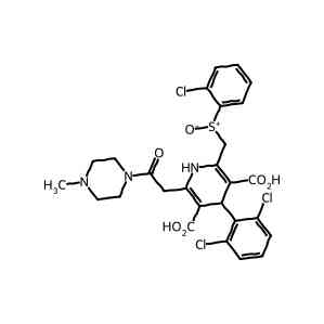 CN1CCN(C(=O)CC2=C(C(=O)O)C(c3c(Cl)cccc3Cl)C(C(=O)O)=C(C[S+]([O-])c3ccccc3Cl)N2)CC1